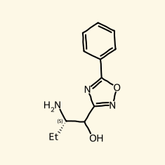 CC[C@H](N)C(O)c1noc(-c2ccccc2)n1